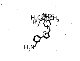 C[C@H]1CN(Cc2ccc(-c3cccc(CN)c3)s2)CC[N+]1(C(=O)[O-])C(C)(C)C